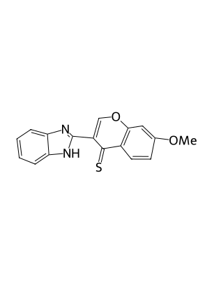 COc1ccc2c(=S)c(-c3nc4ccccc4[nH]3)coc2c1